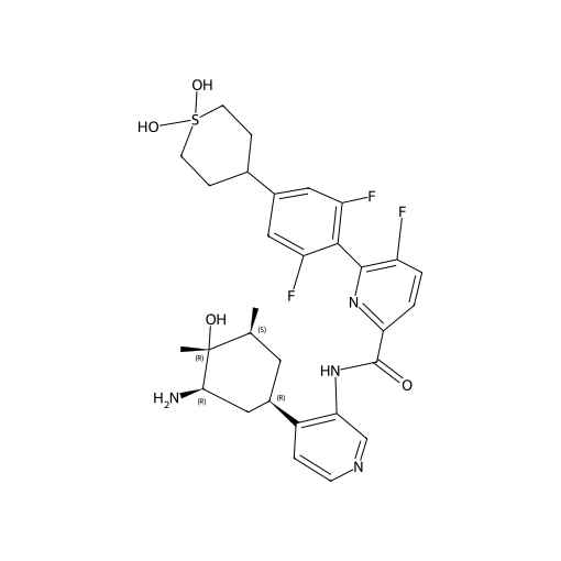 C[C@H]1C[C@@H](c2ccncc2NC(=O)c2ccc(F)c(-c3c(F)cc(C4CCS(O)(O)CC4)cc3F)n2)C[C@@H](N)[C@]1(C)O